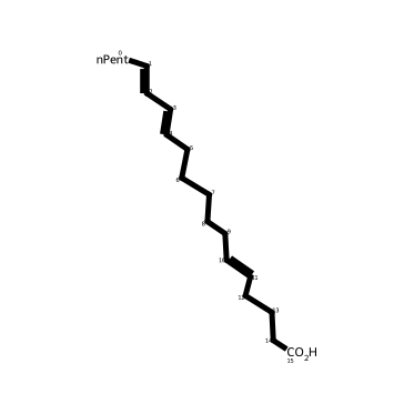 CCCCCC=CC=CCCCCCC=CCCCC(=O)O